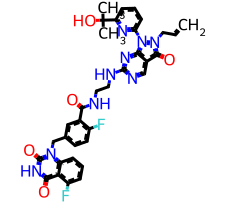 C=CCn1c(=O)c2cnc(NCCNC(=O)c3cc(Cn4c(=O)[nH]c(=O)c5c(F)cccc54)ccc3F)nc2n1-c1cccc(C(C)(C)O)n1